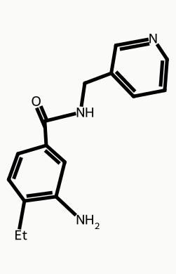 CCc1ccc(C(=O)NCc2cccnc2)cc1N